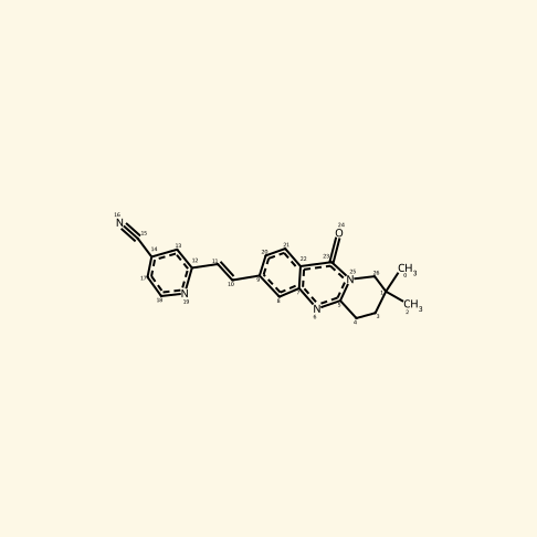 CC1(C)CCc2nc3cc(C=Cc4cc(C#N)ccn4)ccc3c(=O)n2C1